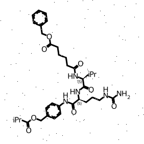 CC(C)C(=O)OCc1ccc(NC(=O)[C@H](CCCNC(N)=O)NC(=O)[C@@H](NC(=O)CCCCC(=O)OCc2ccccc2)C(C)C)cc1